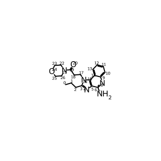 CCCc1nc2c(N)nc3ccccc3c2n1CCC(=O)N1CCOCC1